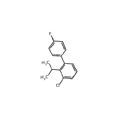 CC(C)c1c(-c2ccc(F)cc2)[c]ccc1Cl